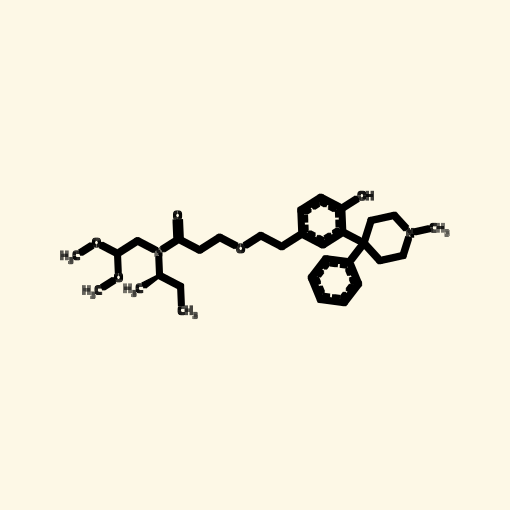 CC[C@@H](C)N(CC(OC)OC)C(=O)CCOCCc1ccc(O)c(C2(c3ccccc3)CCN(C)CC2)c1